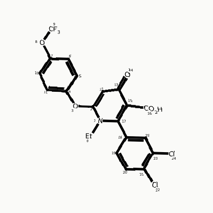 CCn1c(Oc2ccc(OC(F)(F)F)cc2)cc(=O)c(C(=O)O)c1-c1ccc(Cl)c(Cl)c1